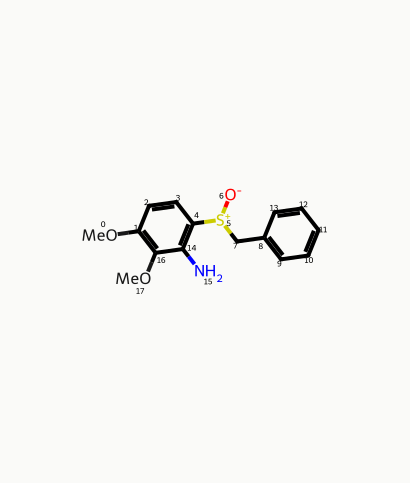 COc1ccc([S+]([O-])Cc2ccccc2)c(N)c1OC